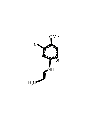 Br.COc1ccc(N/C=C/N)cc1Cl